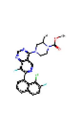 CC(C)(C)OC(=O)N1CCN(c2ncnc3c(F)c(-c4cccc5ccc(F)c(Cl)c45)ncc23)CC1C#N